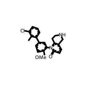 COc1ccc(-c2cccc(Cl)c2C)cc1-n1c2c(ccc1=O)CNCC2